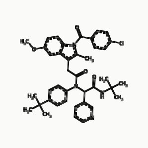 COc1ccc2c(c1)c(CC(=O)N(c1ccc(C(C)(C)C)cc1)C(C(=O)NC(C)(C)C)c1cccnc1)c(C)n2C(=O)c1ccc(Cl)cc1